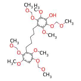 COCOc1cc(OC)c(OCOC)c(CCCCCc2c(OC)c(OCOC)c(O)c(OC)c2OCOC)c1OC